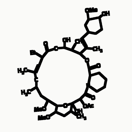 CCC1/C=C(\C)CC(C)CC(OC)C2OC(O)(C(C)CC2OC)C(OC(C)=O)C(=O)N2CCCCC2C(=O)OC(C(C)=CC2CCC(O)C(OC)C2)C(C)C(O)CC1=O